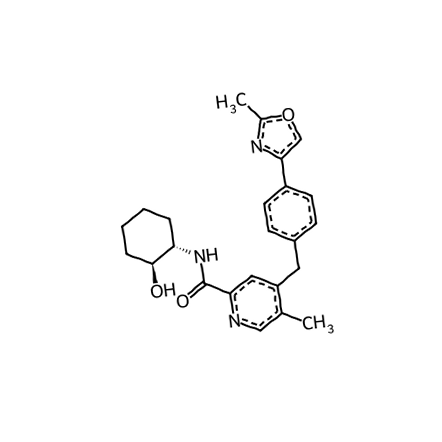 Cc1nc(-c2ccc(Cc3cc(C(=O)N[C@H]4CCCC[C@@H]4O)ncc3C)cc2)co1